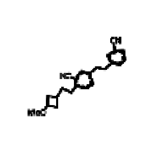 COC1CC(CCc2ccc(CCc3cccc(C#N)c3)cc2C#N)C1